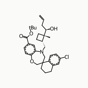 C=CC[C@@H](O)[C@@]1(C)CC[C@H]1CN1CC2(CCCc3cc(Cl)ccc32)COc2ccc(C(=O)OC(C)(C)C)cc21